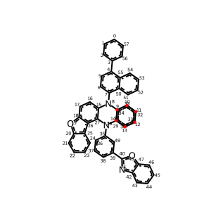 c1ccc(-c2ccc(N(c3ccccc3)c3ccc4oc5ccccc5c4c3N(c3ccccc3)c3cccc(-c4nc5ccccc5o4)c3)c3ccccc23)cc1